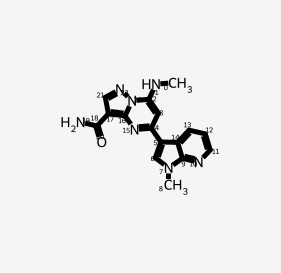 CNc1cc(-c2cn(C)c3ncccc23)nc2c(C(N)=O)cnn12